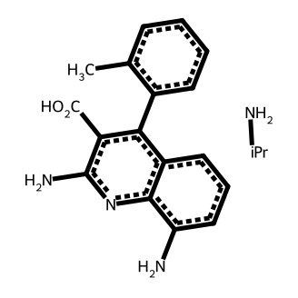 CC(C)N.Cc1ccccc1-c1c(C(=O)O)c(N)nc2c(N)cccc12